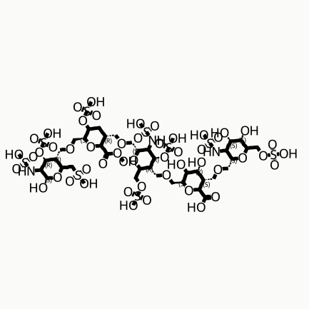 O=C(OO)C1O[C@@H](COC[C@@H]2C(CS(=O)(=O)O)O[C@H](O)C(NS(=O)(=O)O)[C@@H]2OS(=O)(=O)O)C(OS(=O)(=O)O)C[C@@H]1COC[C@H]1OC(COS(=O)(=O)O)[C@@H](COC[C@@H]2OC(C(=O)O)[C@@H](COC[C@H]3OC(COS(=O)(=O)O)[C@@H](O)[C@@H](O)C3NS(=O)(=O)O)[C@@H](O)C2O)[C@@H](OS(=O)(=O)O)C1NS(=O)(=O)O